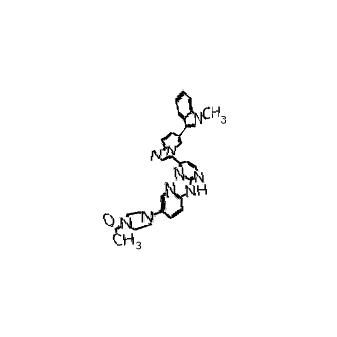 CC(=O)N1CCN(c2ccc(Nc3nccc(-c4cnc5ccc(-c6cn(C)c7ccccc67)cn45)n3)nc2)CC1